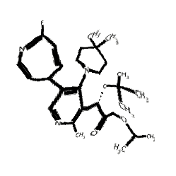 Cc1ncc(C2C#CN=C(F)C=C2)c(N2CCC(C)(C)CC2)c1[C@H](OC(C)(C)C)C(=O)OC(C)C